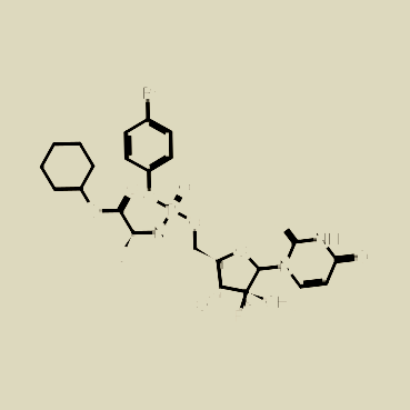 C[C@H](NP(=O)(OC[C@H]1OC(n2ccc(=O)[nH]c2=O)[C@](C)(F)[C@@H]1O)Oc1ccc(Br)cc1)C(=O)OC1CCCCC1